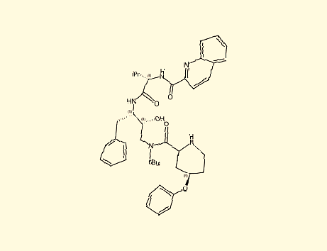 CC(C)[C@H](NC(=O)c1ccc2ccccc2n1)C(=O)N[C@@H](Cc1ccccc1)[C@H](O)CN(C(=O)C1C[C@H](Oc2ccccc2)CCN1)C(C)(C)C